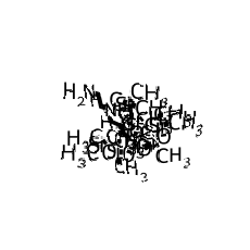 C[Si](C)(C)O[Si](C)(C)O[Si](CCCNCCN)(O[Si](C)(C)O[Si](C)(C)C)O[Si](C)(C)O[Si](C)(C)C